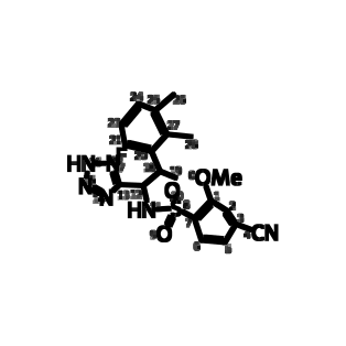 COc1cc(C#N)ccc1S(=O)(=O)NC(c1nn[nH]n1)C(C)c1c(F)ccc(C)c1C